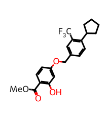 COC(=O)c1ccc(OCc2ccc(C3CCCC3)c(C(F)(F)F)c2)cc1O